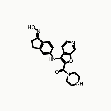 O=C(c1oc2cnccc2c1Nc1ccc2c(c1)CC/C2=N\O)N1CCNCC1